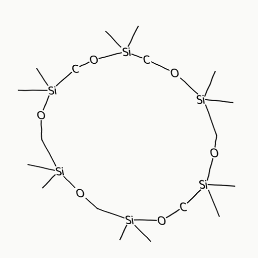 C[Si]1(C)CO[Si](C)(C)CO[Si](C)(C)CO[Si](C)(C)CO[Si](C)(C)CO[Si](C)(C)CO1